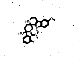 COc1ccc2[nH]c3c(c2c1)CCNC31CCC(O)(c2cccc(F)c2)C(CN(C)C)C1